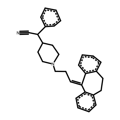 N#CC(c1ccccc1)C1CCN(CCC=C2c3ccccc3CCc3ccccc32)CC1